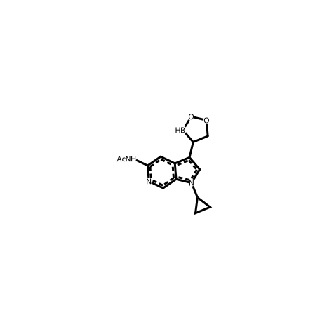 CC(=O)Nc1cc2c(C3BOOC3)cn(C3CC3)c2cn1